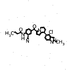 CC=CC(=O)Nc1ccc(C(=O)c2ccc3c(-c4ccc5nn(C)cc5c4Cl)cccn23)cc1C#N